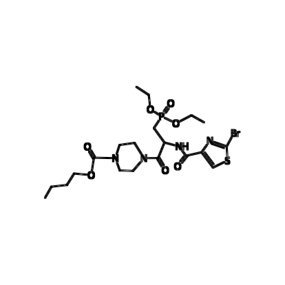 CCCCOC(=O)N1CCN(C(=O)C(CP(=O)(OCC)OCC)NC(=O)c2csc(Br)n2)CC1